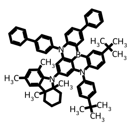 Cc1cc(C)c2c(c1)C1(C)CCCCC1(C)N2c1cc2c3c(c1)N(c1ccc(C(C)(C)C)cc1)c1ccc(C(C)(C)C)cc1B3c1cc(-c3ccccc3)ccc1N2c1ccc(-c2ccccc2)cc1